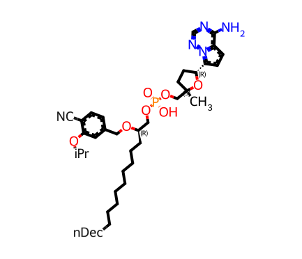 CCCCCCCCCCCCCCCCCCC[C@H](COP(=O)(O)OC[C@]1(C)CC[C@H](c2ccc3c(N)ncnn23)O1)OCc1ccc(C#N)c(OC(C)C)c1